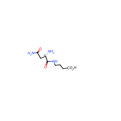 NC(=O)C[C@H](N)C(=O)NCCCC(=O)O